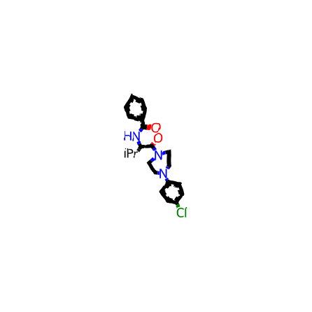 CC(C)C(NC(=O)c1ccccc1)C(=O)N1CCN(c2ccc(Cl)cc2)CC1